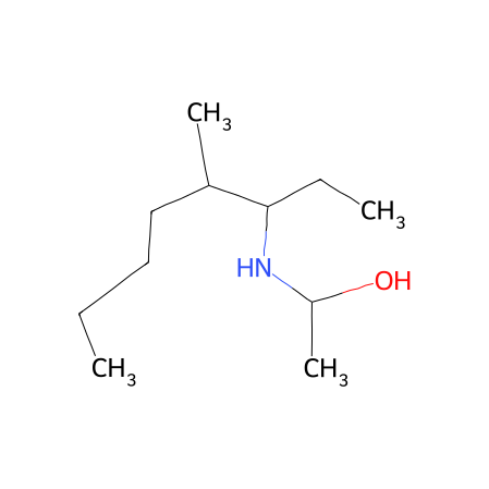 CCCCC(C)C(CC)NC(C)O